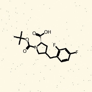 CC(C)(C)OC(=O)N1CC(Cc2ccc(F)cc2F)C[C@H]1C(=O)O